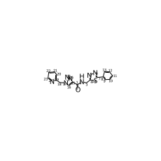 O=C(NCc1nnc(-c2ccccc2)s1)c1cn(Cc2ccccn2)nn1